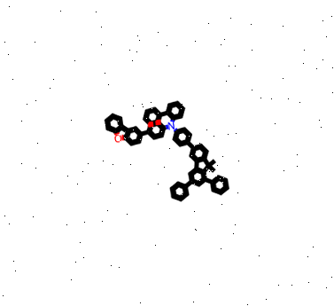 CC1(C)c2ccc(-c3ccc(N(c4ccc(-c5ccc6oc7ccccc7c6c5)cc4)c4ccccc4-c4ccccc4)cc3)cc2-c2cc(-c3ccccc3)cc(-c3ccccc3)c21